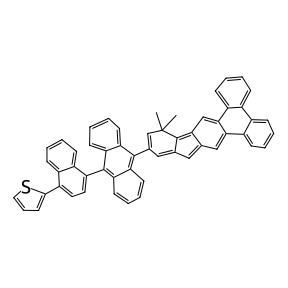 CC1(C)C=C(c2c3ccccc3c(-c3ccc(-c4cccs4)c4ccccc34)c3ccccc23)C=C2C=c3cc4c5ccccc5c5ccccc5c4cc3=C21